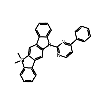 C[Si]1(C)c2ccccc2-c2cc3c(cc21)c1ccccc1n3-c1nccc(-c2ccccc2)n1